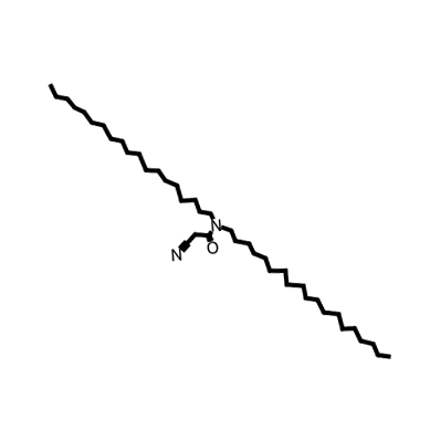 CCCCCCCCCCCCCCCCCCCN(CCCCCCCCCCCCCCCCCCC)C(=O)CC#N